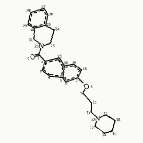 O=C(c1ccc2cc(OCCCN3CCCCC3)ccc2c1)N1CCc2ccccc2C1